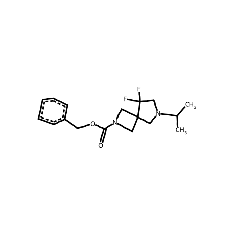 CC(C)N1CC(F)(F)C2(CN(C(=O)OCc3ccccc3)C2)C1